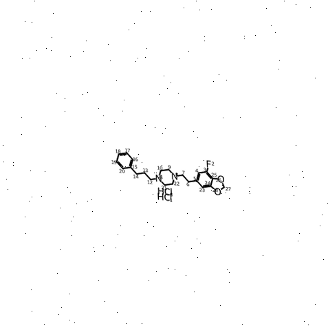 Cl.Cl.Fc1cc(CCN2CCN(CCCc3ccccc3)CC2)cc2c1OCO2